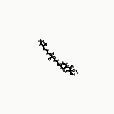 C=CC(=O)OCCNC(=O)OCCOc1ccc(C(=O)C(C)(C)O)cc1